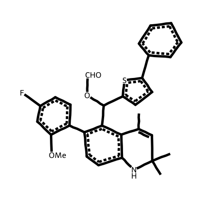 COc1cc(F)ccc1-c1ccc2c(c1C(OC=O)c1ccc(-c3ccccc3)s1)C(C)=CC(C)(C)N2